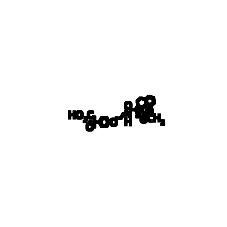 CS(=O)(=O)c1sc(C(=O)NCCCOc2ccc(C3(CC(=O)O)COC3)cc2)c2c1-c1ccccc1CC2